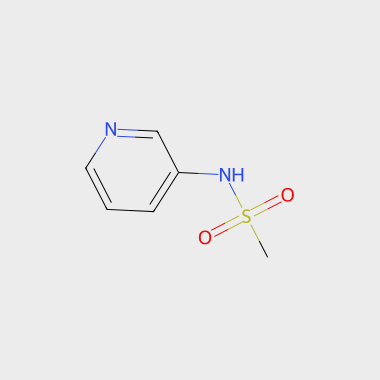 CS(=O)(=O)Nc1cccnc1